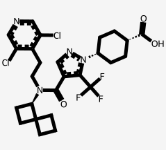 O=C(c1cnn([C@H]2CC[C@@H](C(=O)O)CC2)c1C(F)(F)F)N(CCc1c(Cl)cncc1Cl)[C@@H]1CCC12CCC2